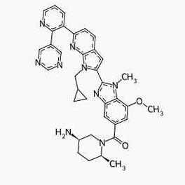 COc1cc(C(=O)N2C[C@H](N)CC[C@@H]2C)cc2nc(-c3cc4ccc(-c5cccnc5-c5cncnc5)nc4n3CC3CC3)n(C)c12